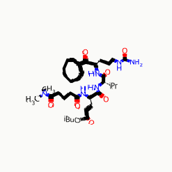 CC(C)COC(=O)CC[C@H](NC(=O)CCCC(=O)N(C)C)C(=O)N[C@H](C(=O)N[C@@H](CCCNC(N)=O)C(=O)C1CCCCCCC1)C(C)C